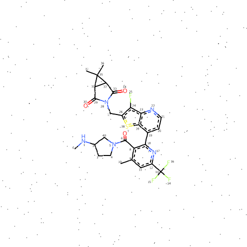 CNC1CCN(C(=O)c2c(C)cc(C(F)(F)F)nc2-c2ccnc3c(F)c(CN4C(=O)C5C(C4=O)C5(C)C)sc23)C1